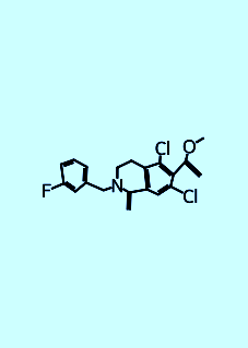 C=C(OC)c1c(Cl)cc2c(c1Cl)CCN(Cc1cccc(F)c1)C2=C